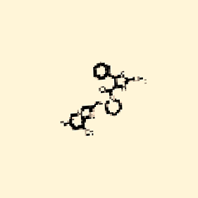 CCc1cc(F)cn2cc(C[C@@H]3CCCCN3C(=O)C3N=C(C)SC3c3ccccc3)nc12